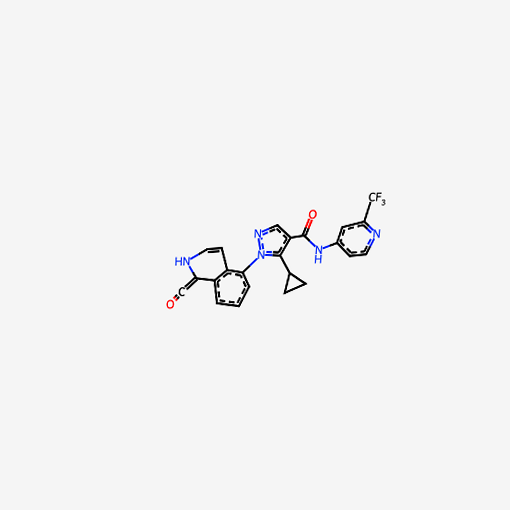 O=C=C1NC=Cc2c1cccc2-n1ncc(C(=O)Nc2ccnc(C(F)(F)F)c2)c1C1CC1